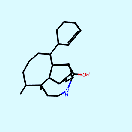 CC1CCCC(C2C=CCCC2)C23CC(O)NCCC1(C)C2C1CCCCC1C3